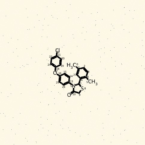 Cc1ccc(C)c(C2SCC(=O)N2c2ccc(Oc3ccc(Cl)cc3)cc2)c1